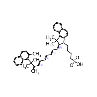 C=C(/C=C/C=C/C=C/C=C1/N(CCCCS(=O)(=O)O)c2ccc3ccccc3c2C1(C)C)C(C)(C)c1c(C)ccc2ccccc12